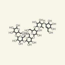 CC1OC(OC2C(CO)OC(OC3C(CO)OC(OC4C(CO)OC(OC5C(CO)OC(O)C(O)C5O)C(O)C4O)C(O)C3O)C(O)C2O)C(O)C(O)C1NC1C=C(CO)C(O)C(O)C1O